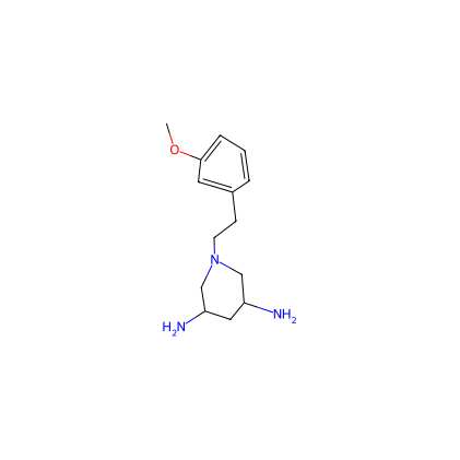 COc1cccc(CCN2CC(N)CC(N)C2)c1